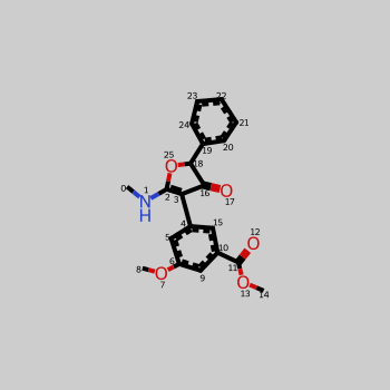 CNC1=C(c2cc(OC)cc(C(=O)OC)c2)C(=O)C(c2ccccc2)O1